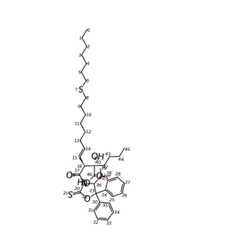 CCCCCCCSCCCCCCC=C[C@H](C(=O)N1C(=S)OC(c2ccccc2)(c2ccccc2)C1C(C)C)[C@@](O)(CCCC)C(=O)O